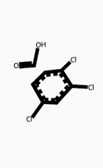 Clc1ccc(Cl)c(Cl)c1.O=CO